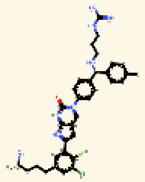 Cc1ccc([C@H](NCCCNC(=N)N)c2ccc(-n3cc4cc(-c5cc(CCC[C@H](C)N)cc(Cl)c5F)[nH]c4nc3=O)cc2)cc1